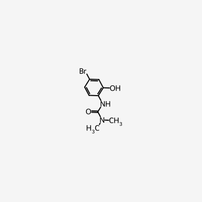 CN(C)C(=O)Nc1ccc(Br)cc1O